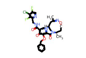 C/C1=N/OCC[C@H](C)N2C[C@H](C1)n1cc(C(=O)NCc3ncc(F)c(Cl)c3F)c(=O)c(OCc3ccccc3)c1C2=O